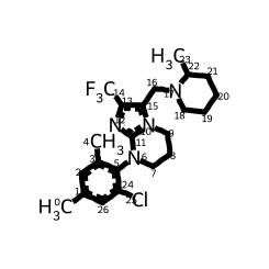 Cc1cc(C)c(N2CCCn3c2nc(C(F)(F)F)c3CN2CCCCC2C)c(Cl)c1